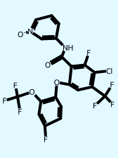 O=C(Nc1ccc[n+]([O-])c1)c1c(Oc2ccc(F)cc2OC(F)(F)F)cc(C(F)(F)F)c(Cl)c1F